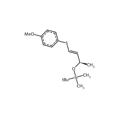 COc1ccc(SC=C[C@@H](C)O[Si](C)(C)C(C)(C)C)cc1